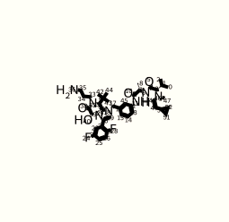 CC(C)[C@@H](C(=O)N[C@@H](C)C(=O)Nc1cccc(Cn2cc(-c3cc(F)ccc3F)nc2[C@H](N(CCCN)C(=O)CO)C(C)(C)C)c1)N(C)/C=C\C1CC1